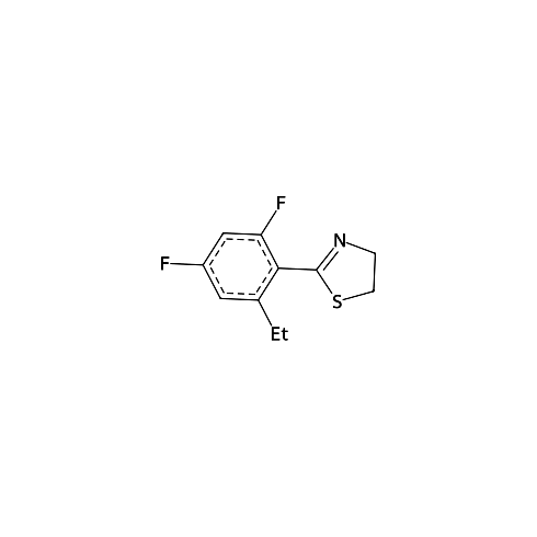 CCc1cc(F)cc(F)c1C1=NCCS1